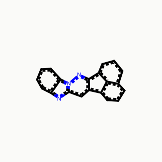 c1ccc2c(c1)nc1cc3c4cccc5cccc(c3nn12)c54